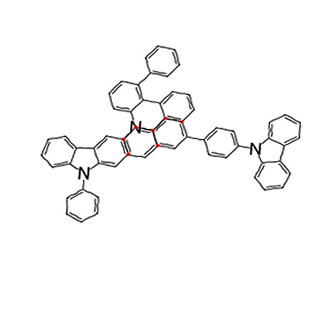 c1ccc(-c2ccccc2-c2c(-c3ccccc3)cccc2N(c2ccc(-c3ccc(-n4c5ccccc5c5ccccc54)cc3)cc2)c2ccc3c(c2)c2ccccc2n3-c2ccccc2)cc1